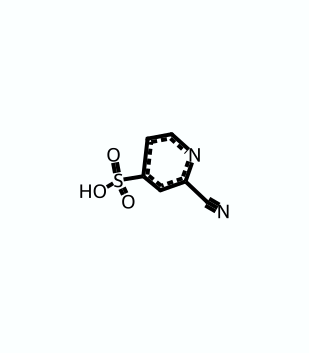 N#Cc1cc(S(=O)(=O)O)ccn1